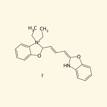 CC[N+]1(CC)c2ccccc2OC1C=CC=C1Nc2ccccc2O1.[I-]